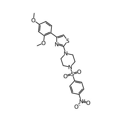 COc1ccc(-c2csc(N3CCN(S(=O)(=O)c4ccc([N+](=O)[O-])cc4)CC3)n2)c(OC)c1